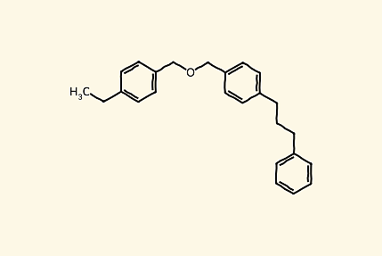 CCc1ccc(COCc2ccc(CCCc3ccccc3)cc2)cc1